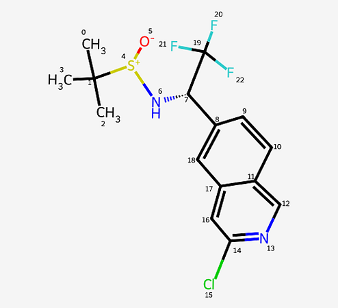 CC(C)(C)[S+]([O-])N[C@@H](c1ccc2cnc(Cl)cc2c1)C(F)(F)F